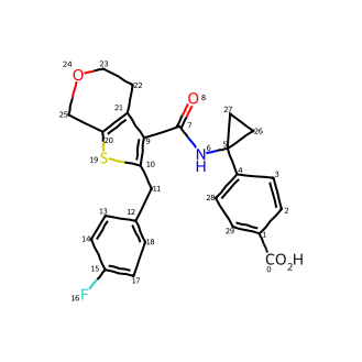 O=C(O)c1ccc(C2(NC(=O)c3c(Cc4ccc(F)cc4)sc4c3CCOC4)CC2)cc1